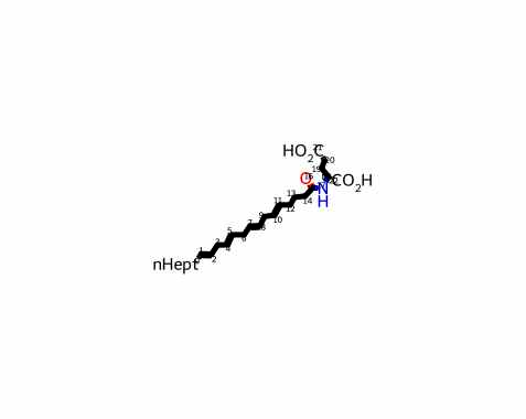 CCCCCCCC=CCC=CCC=CCC=CCCCC(=O)N[C@@H](CCC(=O)O)C(=O)O